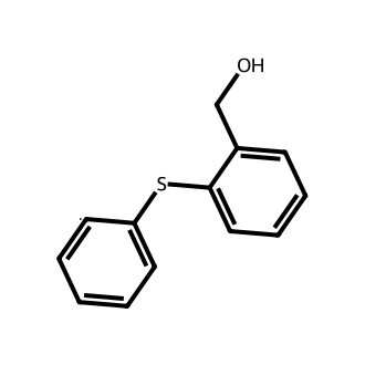 OCc1ccccc1Sc1[c]cccc1